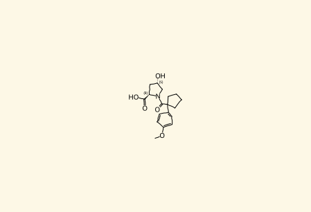 COc1ccc(C2(C(=O)N3C[C@@H](O)C[C@@H]3C(=O)O)CCCC2)cc1